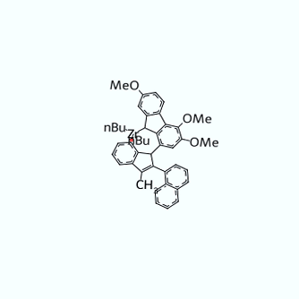 CCC[CH2][Zr]([CH2]CCC)[CH]1c2cc(OC)ccc2-c2c(OC)c(OC)cc(C3C(c4cccc5ccccc45)=C(C)c4ccccc43)c21